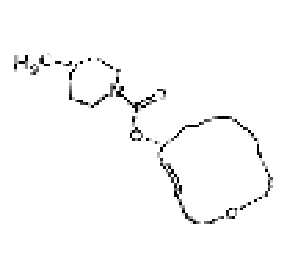 CN1CCN(C(=O)OC2C=CCCOCCCCCC2)CC1